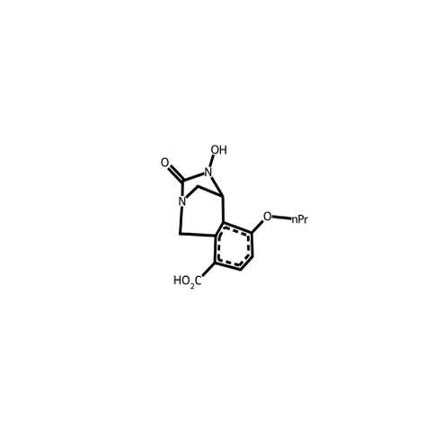 CCCOc1ccc(C(=O)O)c2c1C1CN(C2)C(=O)N1O